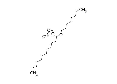 CCCCCCCCCCCC(=O)OCCCCCCCC.O=NO